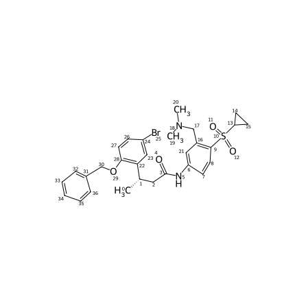 C[C@@H](CC(=O)Nc1ccc(S(=O)(=O)C2CC2)c(CN(C)C)c1)c1cc(Br)ccc1OCc1ccccc1